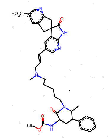 CC1C(c2ccccc2)CC(NC(=O)OC(C)(C)C)C(=O)N1CCCCCN(C)C/C=C/c1cnc2c(c1)C1(Cc3cc(C(=O)O)cnc3C1)C(=O)N2